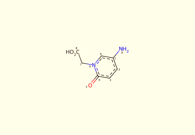 Nc1ccc(=O)n(CC(=O)O)c1